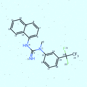 CN(C(=N)Nc1cccc2ccccc12)c1cccc(C(F)(F)C(F)(F)F)c1